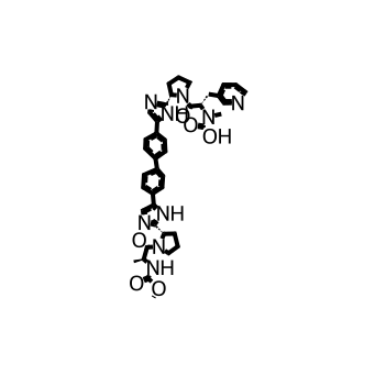 COC(=O)N[C@@H](C)C(=O)N1CCC[C@H]1c1ncc(-c2ccc(-c3ccc(-c4cnc([C@@H]5CCCN5C(=O)[C@H](Cc5cccnc5)N(C)C(=O)O)[nH]4)cc3)cc2)[nH]1